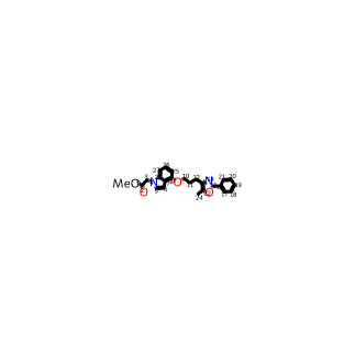 COC(=O)Cn1ccc2c(OCCCc3nc(-c4ccccc4)oc3C)cccc21